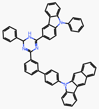 c1ccc(C2N=C(c3cccc(-c4ccc(-n5c6ccccc6c6cc7ccccc7cc65)cc4)c3)N=C(c3ccc4c(c3)c3ccccc3n4-c3ccccc3)N2)cc1